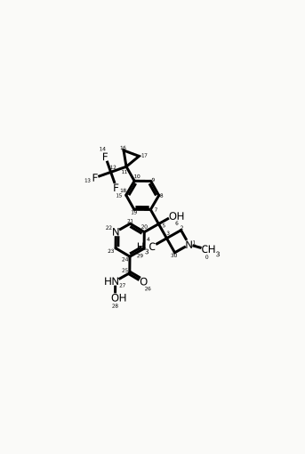 CN1CC(C)(C(O)(c2ccc(C3(C(F)(F)F)CC3)cc2)c2cncc(C(=O)NO)c2)C1